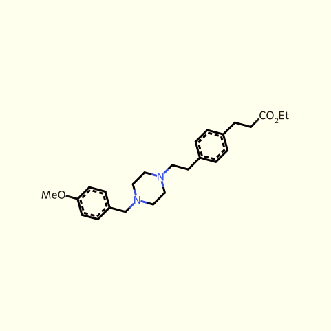 CCOC(=O)CCc1ccc(CCN2CCN(Cc3ccc(OC)cc3)CC2)cc1